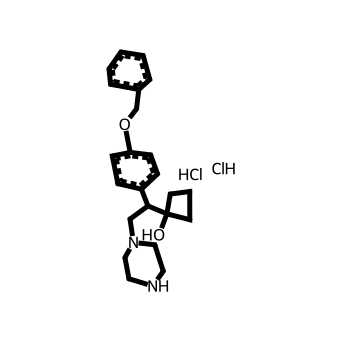 Cl.Cl.OC1(C(CN2CCNCC2)c2ccc(OCc3ccccc3)cc2)CCC1